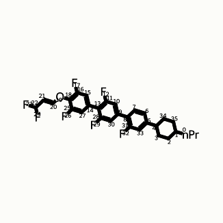 CCCC1CCC(c2ccc(-c3cc(F)c(-c4cc(F)c(O/C=C/C(F)F)c(F)c4)c(F)c3)c(F)c2)CC1